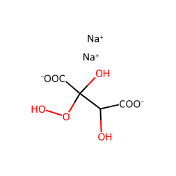 O=C([O-])C(O)C(O)(OO)C(=O)[O-].[Na+].[Na+]